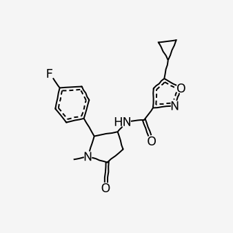 CN1C(=O)CC(NC(=O)c2cc(C3CC3)on2)C1c1ccc(F)cc1